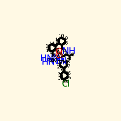 CC(C)[C@@H](NC(=O)c1ccccc1-c1cccc(C2=NNNN2)c1)C(=O)N1CCC(c2ccc(Cl)cc2)CC1